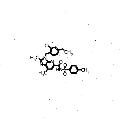 CCc1ccc(Cn2c(C)nc3c(C)cc(C(=O)NS(=O)(=O)c4ccc(C)cc4)nc32)c(Cl)c1